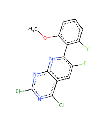 COc1cccc(F)c1-c1nc2nc(Cl)nc(Cl)c2cc1F